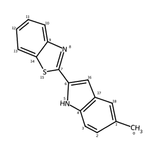 Cc1ccc2[nH]c(-c3nc4ccccc4s3)cc2c1